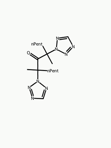 CCCCCC(C)(C(=O)C(C)(CCCCC)n1ncnn1)n1ncnn1